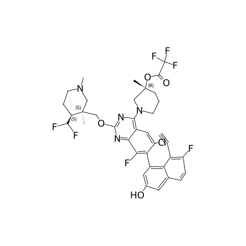 C#Cc1c(F)ccc2cc(O)cc(-c3c(Cl)cc4c(N5CCC[C@@](C)(OC(=O)C(F)(F)F)C5)nc(OC[C@]5(C)CN(C)CC[C@@H]5C(F)F)nc4c3F)c12